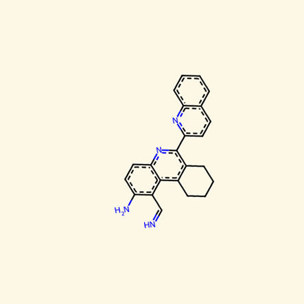 N=Cc1c(N)ccc2nc(-c3ccc4ccccc4n3)c3c(c12)CCCC3